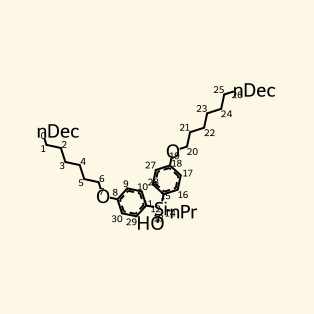 CCCCCCCCCCCCCCCCOc1ccc([Si](O)(CCC)c2ccc(OCCCCCCCCCCCCCCCC)cc2)cc1